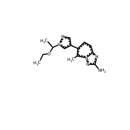 CCOC(C)n1cc(-c2ccc3nc(N)nn3c2C)cn1